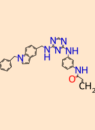 C=CC(=O)Nc1cccc(Nc2ncnc(NCc3ccc4c(ccn4Cc4ccccc4)c3)n2)c1